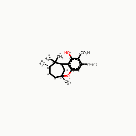 CCCCCc1cc2c(c(O)c1C(=O)O)C1C[C@@](C)(CC[C@H](C)C1(C)C)O2